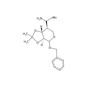 CCCCC(N)[C@H]1COC(OCc2ccccc2)[C@H]2OC(C)(C)O[C@H]12